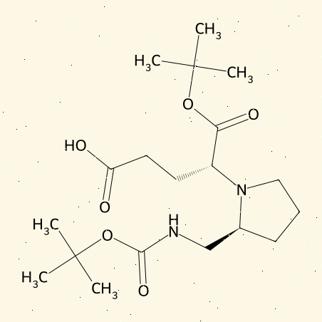 CC(C)(C)OC(=O)NC[C@@H]1CCCN1[C@H](CCC(=O)O)C(=O)OC(C)(C)C